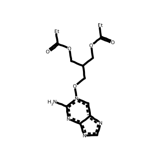 CCC(=O)OCC(COC(=O)CC)COn1cc2ncnc-2nc1N